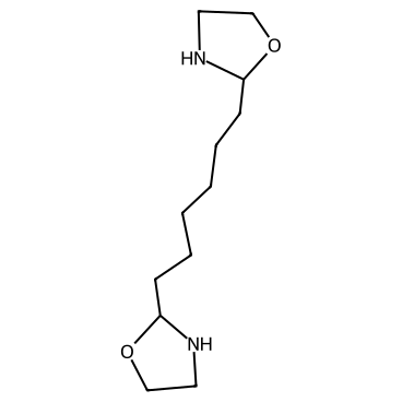 C(CCCC1NCCO1)CCC1NCCO1